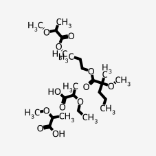 CCCOC(=O)C(C)(CCC)OC.CCOC(C)C(=O)O.COC(=O)C(C)OC.COC(C)C(=O)O